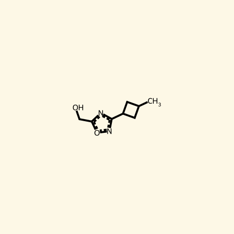 CC1CC(c2noc(CO)n2)C1